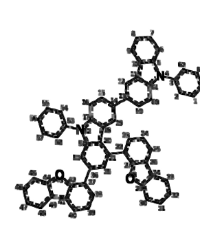 c1ccc(-n2c3ccccc3c3cc(-c4ccc5c(c4)c4c(-c6cccc7c6oc6ccccc67)cc(-c6cccc7c6oc6ccccc67)cc4n5-c4ccccc4)ccc32)cc1